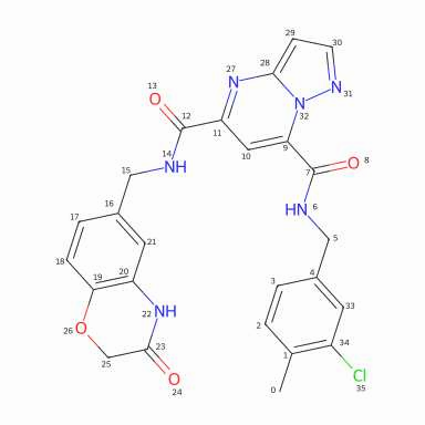 Cc1ccc(CNC(=O)c2cc(C(=O)NCc3ccc4c(c3)NC(=O)CO4)nc3ccnn23)cc1Cl